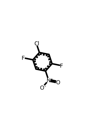 O=[N+]([O-])c1cc(F)c(Cl)cc1F